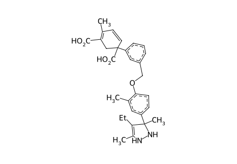 CCC1=C(C)NNC1(C)c1ccc(OCc2cccc(C3(C(=O)O)C=CC(C)=C(C(=O)O)C3)c2)c(C)c1